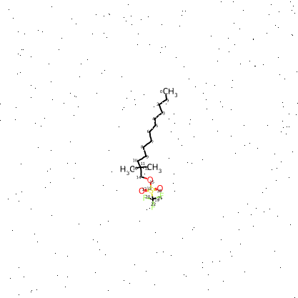 CCCCCCCCCCCC(C)(C)COS(=O)(=O)C(F)(F)F